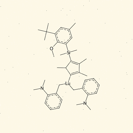 COc1c(C(C)(C)C)cc(C)cc1[Si](C)(C)C1=C(C)C(C)=[C]([Lu]([CH2]c2ccccc2N(C)C)[CH2]c2ccccc2N(C)C)C1C